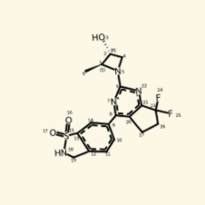 C[C@H]1[C@H](O)CN1c1nc(-c2ccc3c(c2)S(=O)(=O)NC3)c2c(n1)C(F)(F)CC2